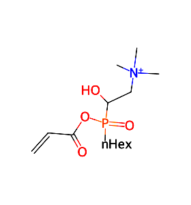 C=CC(=O)OP(=O)(CCCCCC)C(O)C[N+](C)(C)C